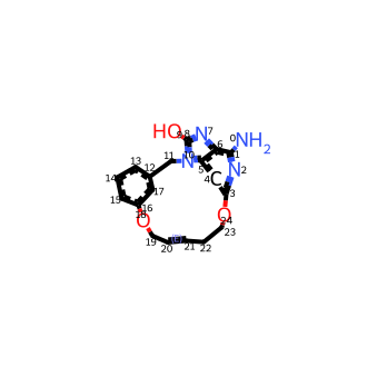 Nc1nc2cc3c1nc(O)n3Cc1cccc(c1)OC/C=C/CCO2